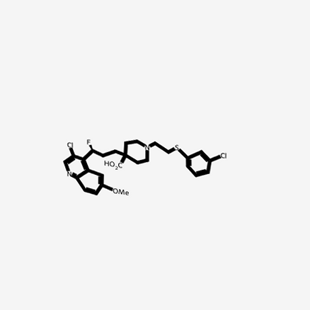 COc1ccc2ncc(Cl)c([C@@H](F)CCC3(C(=O)O)CCN(CCSc4cccc(Cl)c4)CC3)c2c1